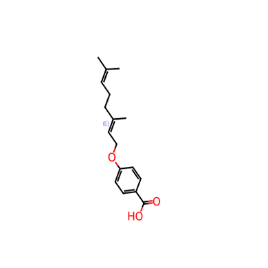 CC(C)=CCC/C(C)=C/COc1ccc(C(=O)O)cc1